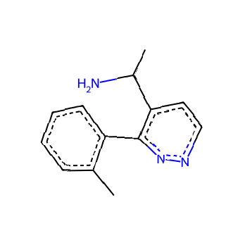 Cc1ccccc1-c1nnccc1C(C)N